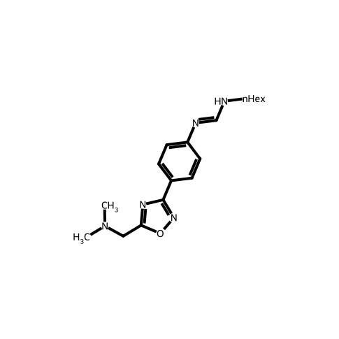 CCCCCCNC=Nc1ccc(-c2noc(CN(C)C)n2)cc1